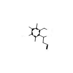 C=CCC(O)c1c(C)c(OC)c(C)c(C)c1CO